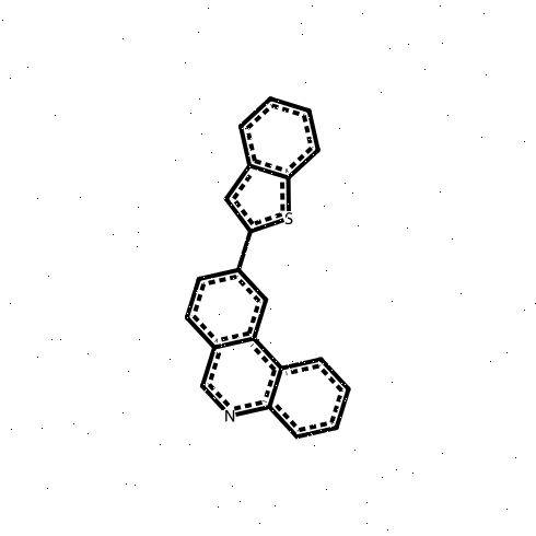 c1ccc2sc(-c3ccc4cnc5ccccc5c4c3)cc2c1